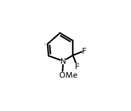 CON1C=[C]C=CC1(F)F